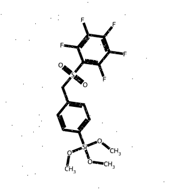 CO[Si](OC)(OC)c1ccc(CS(=O)(=O)c2c(F)c(F)c(F)c(F)c2F)cc1